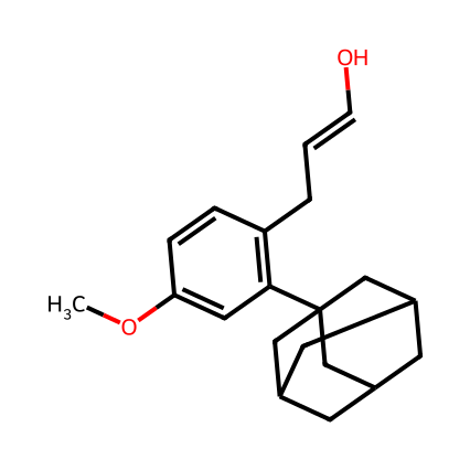 COc1ccc(CC=CO)c(C23CC4CC(CC(C4)C2)C3)c1